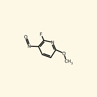 COc1ccc(N=O)c(F)n1